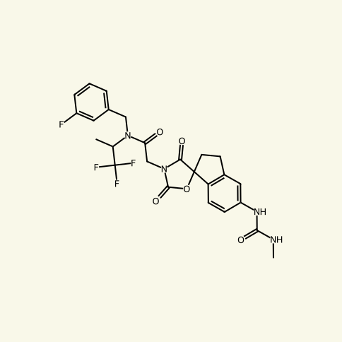 CNC(=O)Nc1ccc2c(c1)CCC21OC(=O)N(CC(=O)N(Cc2cccc(F)c2)C(C)C(F)(F)F)C1=O